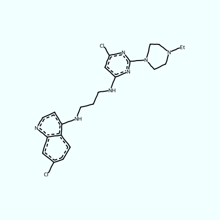 CCN1CCN(c2nc(Cl)cc(NCCCNc3ccnc4cc(Cl)ccc34)n2)CC1